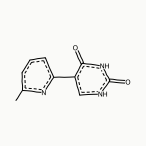 Cc1cccc(-c2c[nH]c(=O)[nH]c2=O)n1